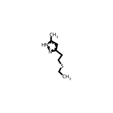 CCSCCc1cc(C)[nH]n1